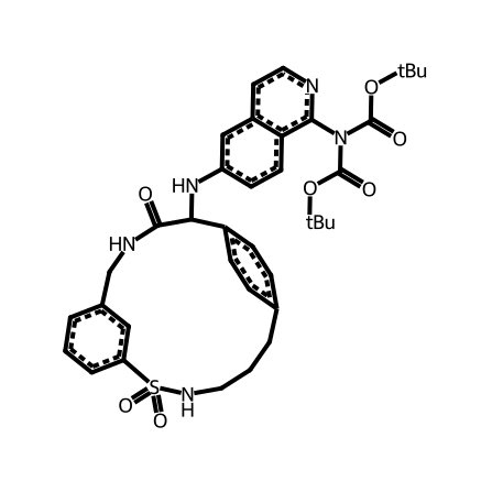 CC(C)(C)OC(=O)N(C(=O)OC(C)(C)C)c1nccc2cc(NC3C(=O)NCc4cccc(c4)S(=O)(=O)NCCCc4ccc3cc4)ccc12